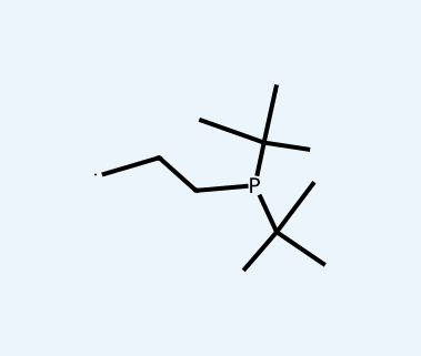 [CH2]CCP(C(C)(C)C)C(C)(C)C